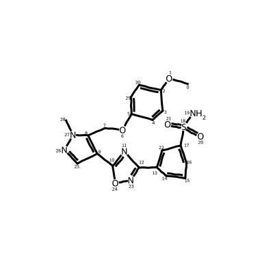 COc1ccc(OCc2c(-c3nc(-c4cccc(S(N)(=O)=O)c4)no3)cnn2C)cc1